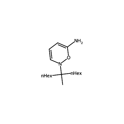 CCCCCCC(C)(CCCCCC)N1C=CC=C(N)O1